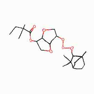 CCC(C)(C)C(=O)OC1COC2C(OOOC3C4(C)CCC(C4)C3(C)C)COC12